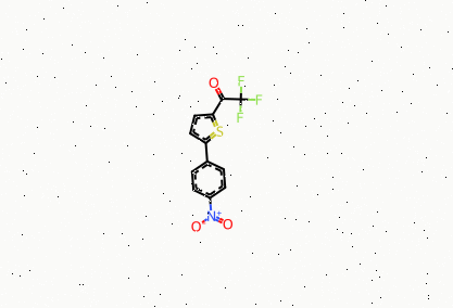 O=C(c1ccc(-c2ccc([N+](=O)[O-])cc2)s1)C(F)(F)F